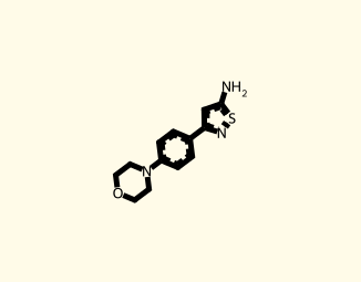 Nc1cc(-c2ccc(N3CCOCC3)cc2)ns1